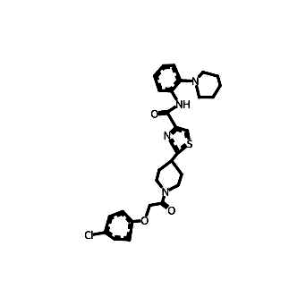 O=C(Nc1ccccc1N1CCCCC1)c1csc(C2CCN(C(=O)COc3ccc(Cl)cc3)CC2)n1